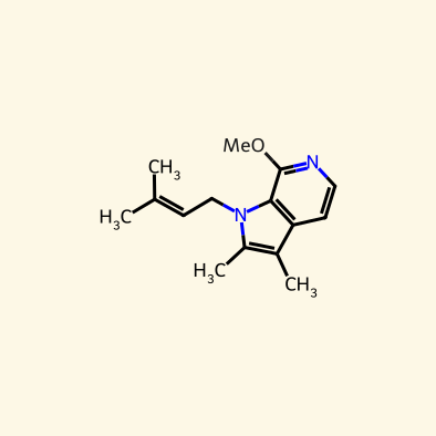 COc1nccc2c(C)c(C)n(CC=C(C)C)c12